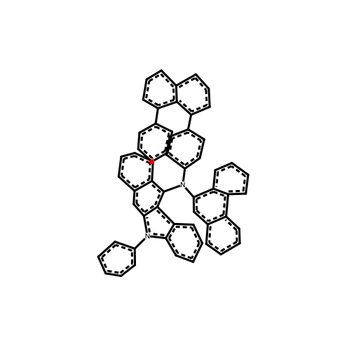 c1ccc(-c2cccc3cccc(-c4ccc(N(c5cc6ccccc6c6ccccc56)c5c6ccccc6cc6c5c5ccccc5n6-c5ccccc5)cc4)c23)cc1